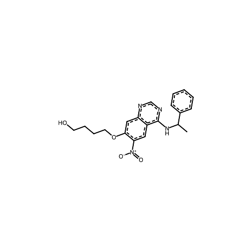 CC(Nc1ncnc2cc(OCCCCO)c([N+](=O)[O-])cc12)c1ccccc1